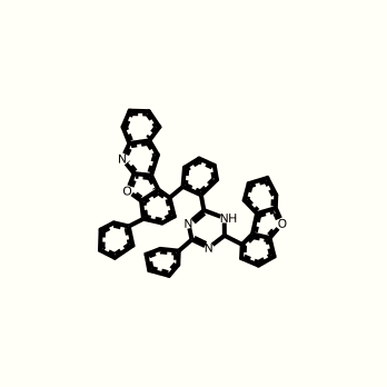 c1ccc(C2=NC(c3cccc4oc5ccccc5c34)NC(c3ccccc3-c3ccc(-c4ccccc4)c4oc5nc6ccccc6cc5c34)=N2)cc1